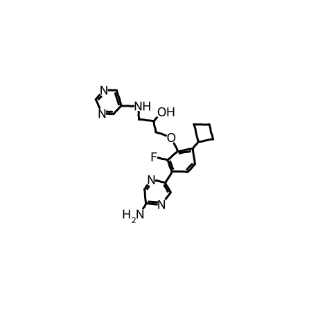 Nc1cnc(-c2ccc(C3CCC3)c(OCC(O)CNc3cncnc3)c2F)cn1